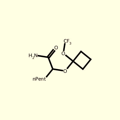 CCCCCC(OC1(OC(F)(F)F)CCC1)C(N)=O